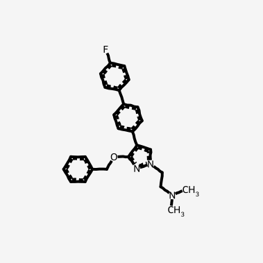 CN(C)CCn1cc(-c2ccc(-c3ccc(F)cc3)cc2)c(OCc2ccccc2)n1